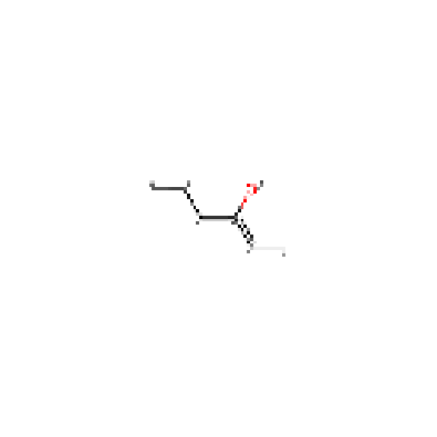 C/C=C(\[O])CCC